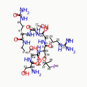 CCNC(=O)[C@H](CCCNC(N)=O)NC(=O)[C@H](CO)NC(=O)[C@H](CCCNC(=N)N)NC(=O)[C@@H](COC(C)(C)CI)NC(=O)[C@@H](CO)NC(=O)[C@H](N)CO